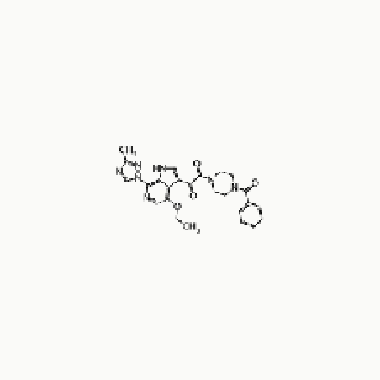 CCOc1cnc(-n2cnc(C)n2)c2[nH]cc(C(=O)C(=O)N3CCN(C(=O)c4ccccc4)CC3)c12